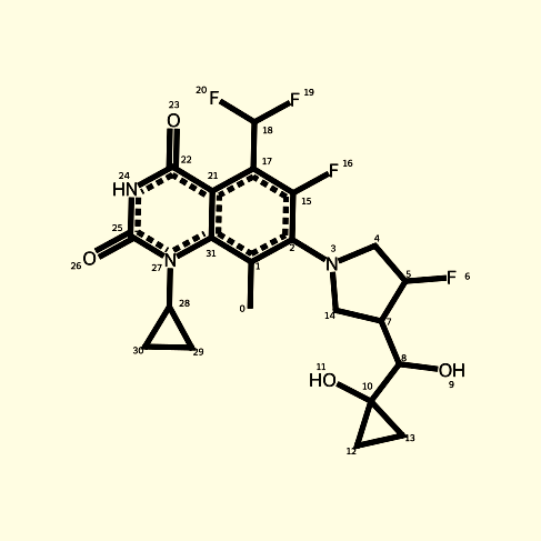 Cc1c(N2CC(F)C(C(O)C3(O)CC3)C2)c(F)c(C(F)F)c2c(=O)[nH]c(=O)n(C3CC3)c12